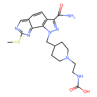 CSc1ncc2ccc3c(C(N)=O)nn(CC4CCN(CCNC(=O)O)CC4)c3c2n1